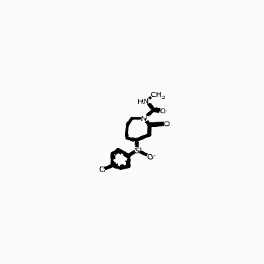 CNC(=O)N1CCCC([S+]([O-])c2ccc(Cl)cc2)CC1=O